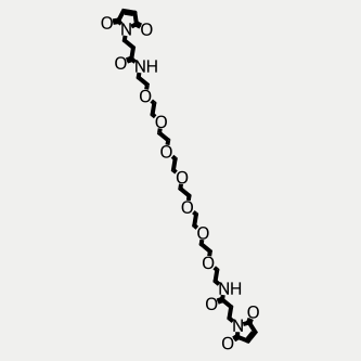 O=C(CCN1C(=O)C=CC1=O)NCCOCCOCCOCCOCCOCCOCCOCCNC(=O)CCN1C(=O)C=CC1=O